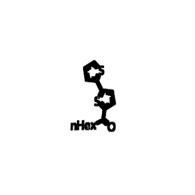 CCCCCCC(=O)c1ccc(-c2cccs2)s1